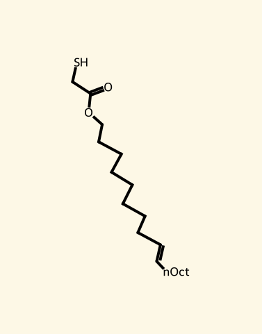 CCCCCCCCC=CCCCCCCCCOC(=O)CS